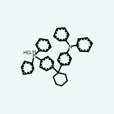 O[PH](c1ccccc1)(c1ccccc1)c1ccc(C2(c3ccc(N(c4ccccc4)c4ccccc4)cc3)CCCCC2)cc1